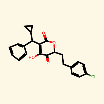 O=C1OC(CCc2ccc(Cl)cc2)C(=O)C(O)=C1C(c1ccccc1)C1CC1